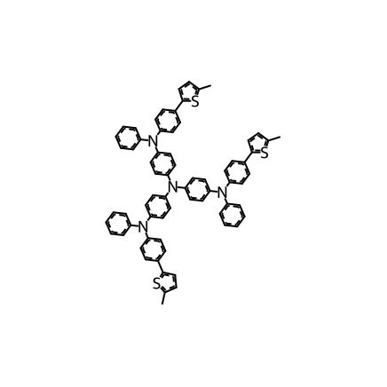 Cc1ccc(-c2ccc(N(c3ccccc3)c3ccc(N(c4ccc(N(c5ccccc5)c5ccc(-c6ccc(C)s6)cc5)cc4)c4ccc(N(c5ccccc5)c5ccc(-c6ccc(C)s6)cc5)cc4)cc3)cc2)s1